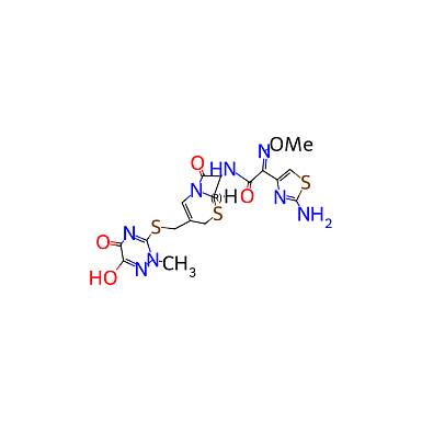 CON=C(C(=O)NC1C(=O)N2C=C(CSc3nc(=O)c(O)nn3C)CS[C@H]12)c1csc(N)n1